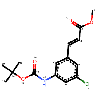 COC(=O)C=Cc1cc(Cl)cc(NC(=O)OC(C)(C)C)c1